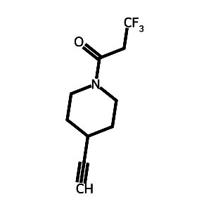 C#CC1CCN(C(=O)CC(F)(F)F)CC1